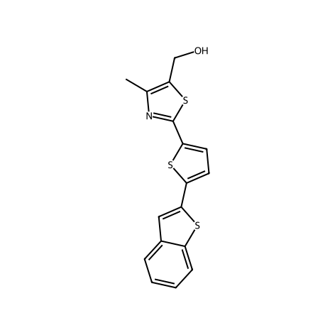 Cc1nc(-c2ccc(-c3cc4ccccc4s3)s2)sc1CO